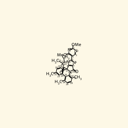 COc1ncc(-c2nc3c4n2C(C)C(C)OC(=O)C42c4ccc(C)cc4-c4c(C)ccc(C)c4N2C3=O)c(OC)n1